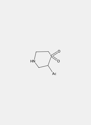 [CH2]C(=O)C1CNCCS1(=O)=O